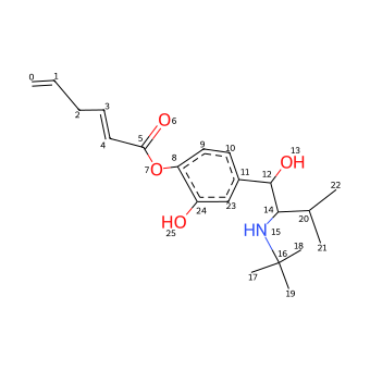 C=CCC=CC(=O)Oc1ccc(C(O)C(NC(C)(C)C)C(C)C)cc1O